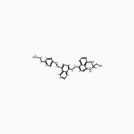 CC1(CO)Nc2cccc3c(N=Nc4ccc(N=Nc5ccc(CCO)cc5)c5ccccc45)ccc(c23)N1